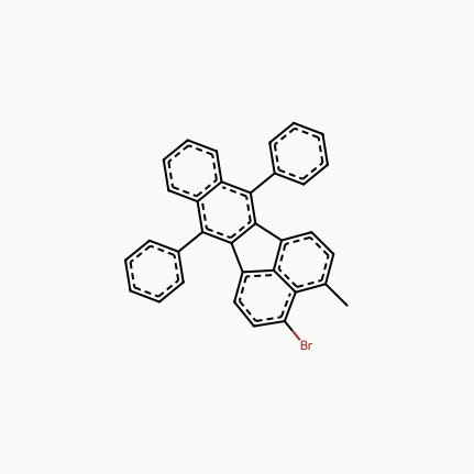 Cc1ccc2c3c(ccc(Br)c13)-c1c-2c(-c2ccccc2)c2ccccc2c1-c1ccccc1